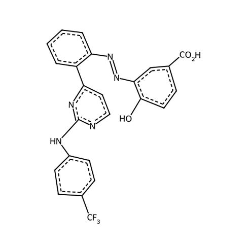 O=C(O)c1ccc(O)c(/N=N/c2ccccc2-c2ccnc(Nc3ccc(C(F)(F)F)cc3)n2)c1